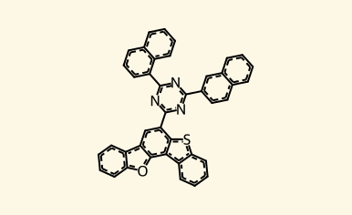 c1ccc2cc(-c3nc(-c4cccc5ccccc45)nc(-c4cc5c6ccccc6oc5c5c4sc4ccccc45)n3)ccc2c1